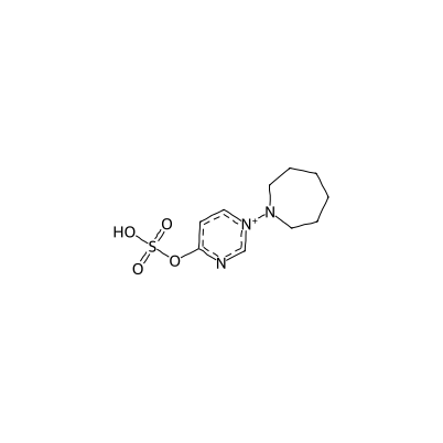 O=S(=O)(O)Oc1cc[n+](N2CCCCCC2)cn1